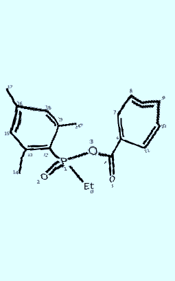 CCP(=O)(OC(=O)c1ccccc1)c1c(C)cc(C)cc1C